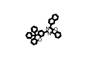 c1ccc(C2(c3ccccc3)c3ccccc3Oc3cc(-c4nc(-c5ccc6ccccc6c5)c5oc6ccccc6c5n4)ccc32)cc1